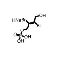 O=P(O)(O)OCC(Br)=C(Br)CO.[NaH]